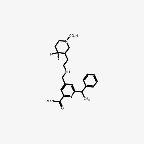 CNC(=O)c1cc(CNCCC2CN(C(=O)O)CCC2(F)F)cc(C(C)c2ccccc2)n1